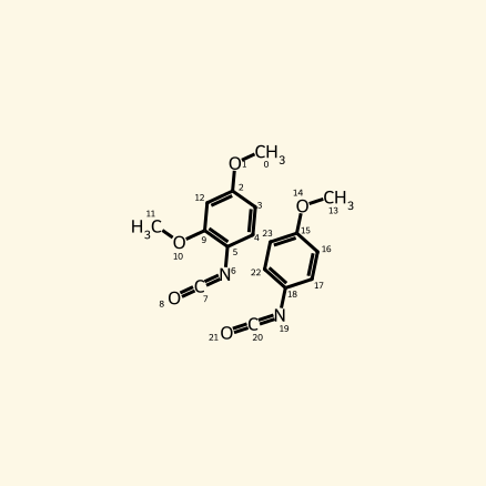 COc1ccc(N=C=O)c(OC)c1.COc1ccc(N=C=O)cc1